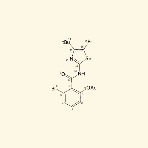 CC(=O)Oc1cccc(Br)c1C(=O)Nc1nc(C(C)(C)C)c(Br)s1